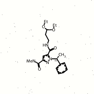 CCOC(CCNC(=O)c1cc(C(=O)NC)nn1[C@@H](C)c1ccccc1)OCC